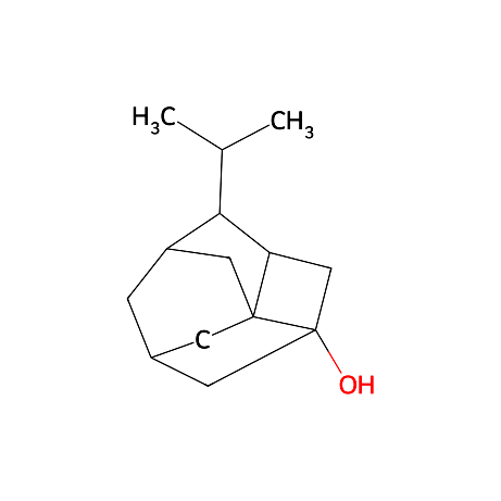 CC(C)C1C2CC3CC4(O)CC1C4(C3)C2